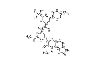 CCN1C(=O)N(c2cc(NC(=O)c3cc(N4CCN(C)CC4)cc(C(F)(F)F)c3)cc(OC)c2)Cc2cnc3[nH]ccc3c21